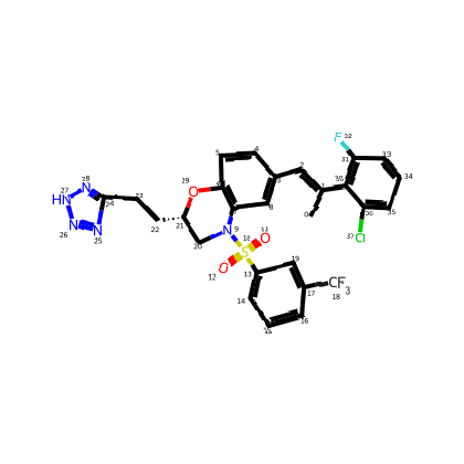 CC(=Cc1ccc2c(c1)N(S(=O)(=O)c1cccc(C(F)(F)F)c1)C[C@H](CCc1nn[nH]n1)O2)c1c(F)cccc1Cl